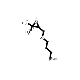 CCCCCCCCOCC1OC1(C)C